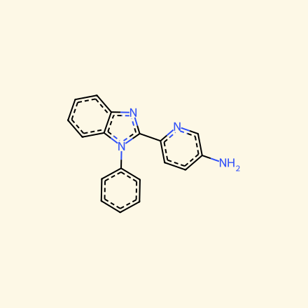 Nc1ccc(-c2nc3ccccc3n2-c2ccccc2)nc1